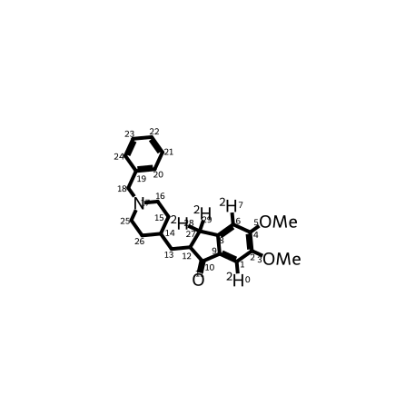 [2H]c1c(OC)c(OC)c([2H])c2c1C(=O)C(CC1CCN(Cc3ccccc3)CC1)C2([2H])[2H]